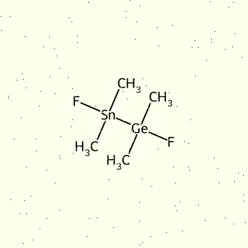 [CH3][Ge]([CH3])([F])[Sn]([CH3])([CH3])[F]